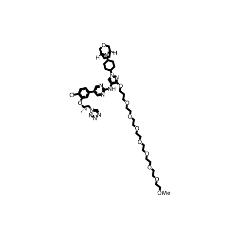 COCCOCCOCCOCCOCCOCCOCCOCCCOc1nn(C2CCC(N3[C@@H]4CC[C@H]3COC4)CC2)cc1Nc1ncc(-c2ccc(Cl)c(O[C@@H](C)Cn3cnnn3)c2)cn1